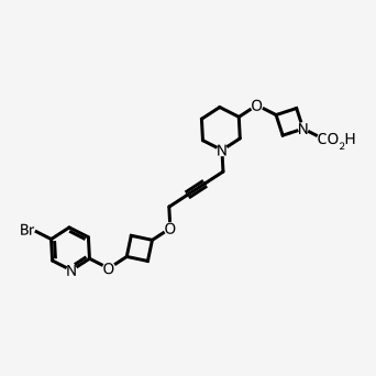 O=C(O)N1CC(OC2CCCN(CC#CCOC3CC(Oc4ccc(Br)cn4)C3)C2)C1